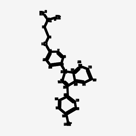 CCN(CC)CCOc1ccc(-n2nc(-c3ccc(Br)cc3)c3cccnc32)cc1